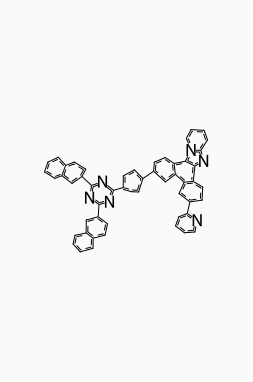 c1ccc(-c2ccc3c(c2)c2cc(-c4ccc(-c5nc(-c6ccc7ccccc7c6)nc(-c6ccc7ccccc7c6)n5)cc4)ccc2c2c3nc3ccccn32)nc1